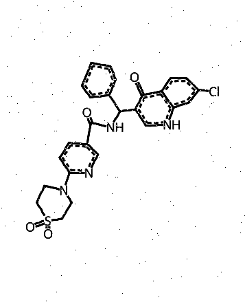 O=C(NC(c1ccccc1)c1c[nH]c2cc(Cl)ccc2c1=O)c1ccc(N2CCS(=O)(=O)CC2)nc1